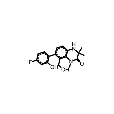 CN1C(=O)C(C)(C)Nc2ccc(-c3ccc(F)cc3O)c(CO)c21